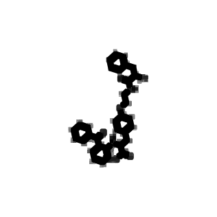 CCC(Cc1ccccc1)C(=O)NCCOc1ccc(CC(Nc2ccccc2C(=O)c2ccccc2)C(=O)OC)cc1